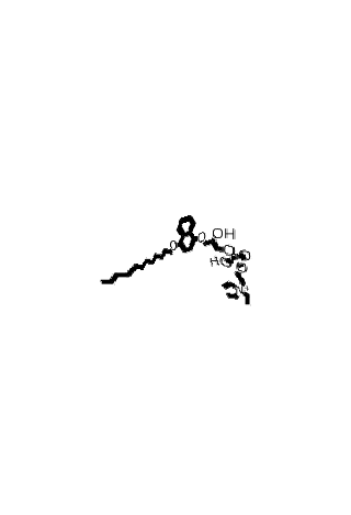 CCCCCCCCCCCCOc1ccc(OCC(O)COP(=O)(O)OCC[N+](CC)(CC)CC)c2ccccc12